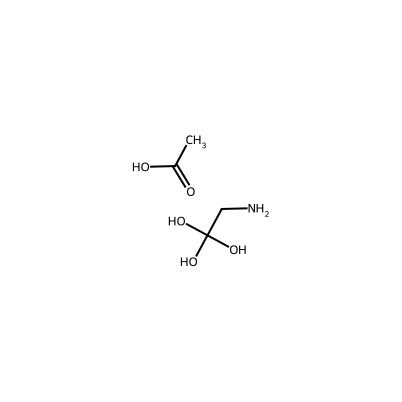 CC(=O)O.NCC(O)(O)O